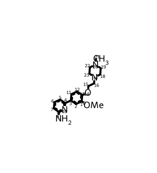 COc1cc(-c2cccc(N)n2)ccc1OCCN1CCN(C)CC1